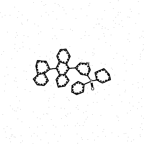 O=P(c1ccccc1)(c1ccccc1)c1cncc(-c2c3ccccc3c(-c3cccc4ccccc34)c3ccccc23)c1